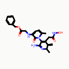 C=C1C(CC(=O)NO)=C(n2c(C)ccc(NCC(=O)OCc3ccccc3)c2=O)C(N)=NC1C